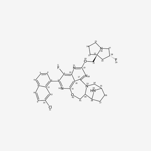 Fc1c(-c2cccc3ccc(Cl)cc23)nc2c3c(nc(OC[C@@]45CCCN4C[C@H](F)C5)nc13)N1CC3CCC(N3)C1CO2